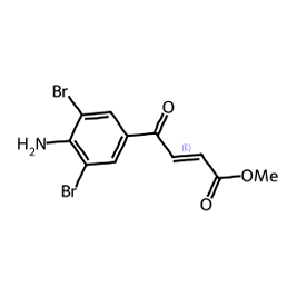 COC(=O)/C=C/C(=O)c1cc(Br)c(N)c(Br)c1